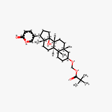 CC(C)(C)C(=O)OCO[C@H]1CC[C@@]2(C)[C@H](CC[C@@H]3[C@@H]2CC[C@]2(C)[C@@H](c4ccc(=O)oc4)CC[C@]32O)C1